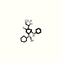 CCC(CC(=O)O)c1cc(Nc2ccccc2)c(N(CC(C)C)C2CCCCC2)cc1F